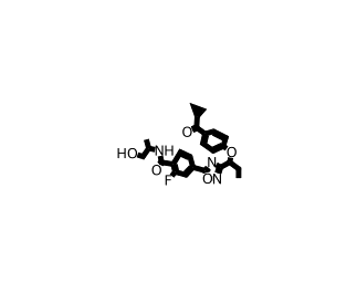 CCC(Oc1ccc(C(=O)C2CC2)cc1)c1noc(-c2ccc(C(=O)NC(C)CO)c(F)c2)n1